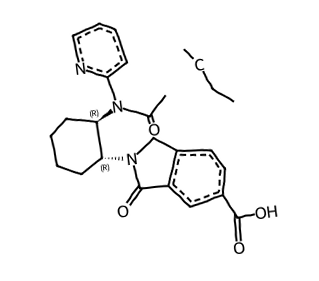 CC(=O)N(c1ccccn1)[C@@H]1CCCC[C@H]1N1Cc2ccc(C(=O)O)cc2C1=O.CCCC